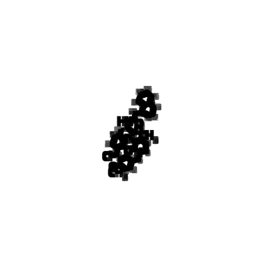 COc1ccc(Cn2ccc(C)c(NC(=O)[C@H](Cc3ccc(CCl)cc3)NC(=O)Cc3cccc4ccccc34)c2=O)cc1